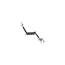 N[C]=CF